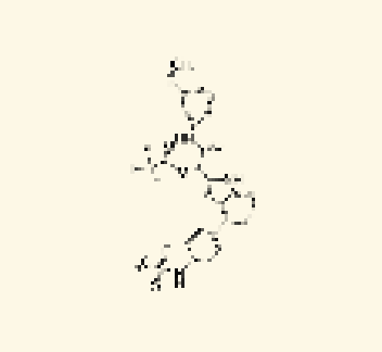 COc1cccc(NC(=O)C(OC(=O)C(F)(F)F)c2cc3c(-c4ccc(NS(C)(=O)=O)cc4)ccnc3[nH]2)c1